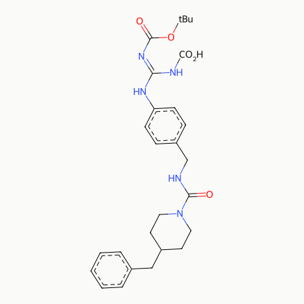 CC(C)(C)OC(=O)N=C(NC(=O)O)Nc1ccc(CNC(=O)N2CCC(Cc3ccccc3)CC2)cc1